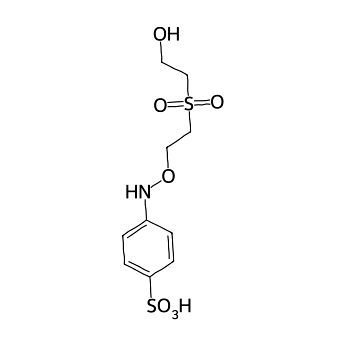 O=S(=O)(CCO)CCONc1ccc(S(=O)(=O)O)cc1